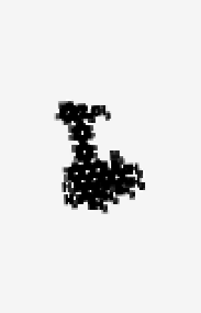 Bc1c(B)c(B)c(-c2ccc3c(-c4ccc(-c5ccc(-n6c(CC)nc7ccccc76)cc5)cc4)c4ccccc4c(-c4c(B)c(B)c(B)c(B)c4B)c3c2)c(B)c1B